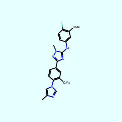 COc1cc(Nc2nc(-c3ccc(-n4cnc(C)c4)c(OC)c3)nn2C)ccc1F